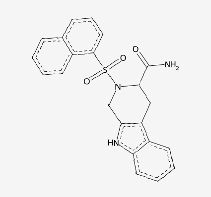 NC(=O)C1Cc2c([nH]c3ccccc23)CN1S(=O)(=O)c1cccc2ccccc12